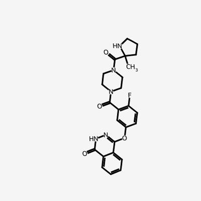 CC1(C(=O)N2CCN(C(=O)c3cc(Oc4n[nH]c(=O)c5ccccc45)ccc3F)CC2)CCCN1